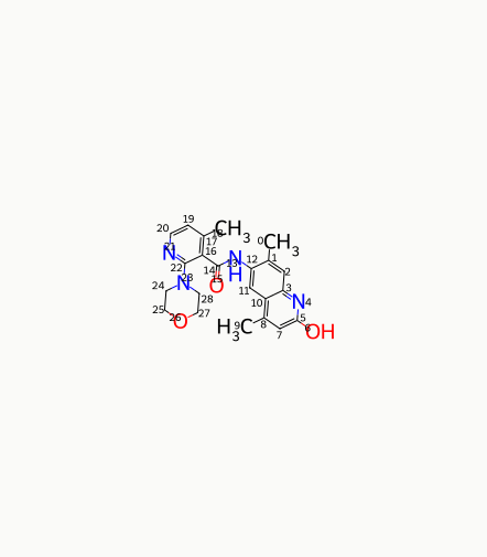 Cc1cc2nc(O)cc(C)c2cc1NC(=O)c1c(C)ccnc1N1CCOCC1